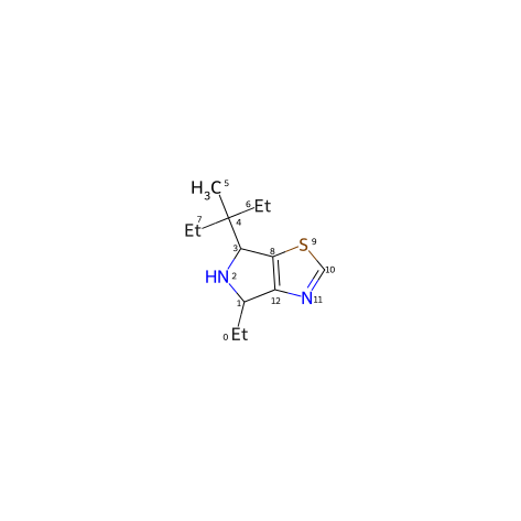 CCC1NC(C(C)(CC)CC)c2scnc21